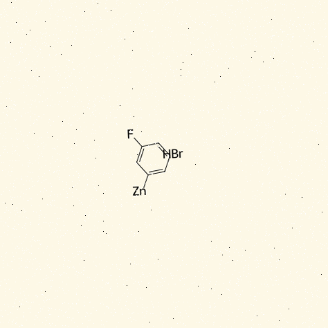 Br.Fc1ccc[c]([Zn])c1